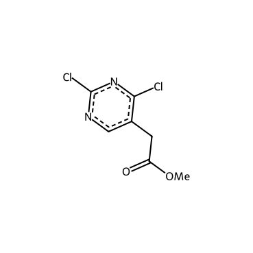 COC(=O)Cc1cnc(Cl)nc1Cl